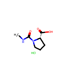 CNC(=O)N1CCC[C@H]1C(=O)O.Cl